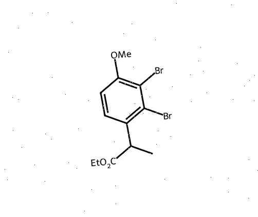 CCOC(=O)C(C)c1ccc(OC)c(Br)c1Br